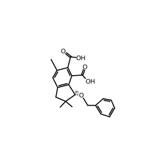 Cc1cc2c(c(C(=O)O)c1C(=O)O)[C@H](OCc1ccccc1)C(C)(C)C2